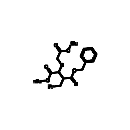 CCCCOC(=O)C(OCC(=O)OC(C)(C)C)C(CC(C)C)C(=O)OCc1ccccc1